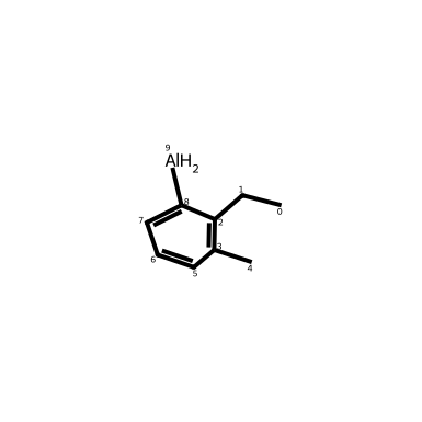 CCc1c(C)ccc[c]1[AlH2]